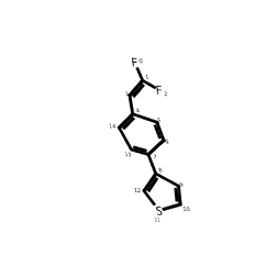 FC(F)=Cc1ccc(-c2ccsc2)cc1